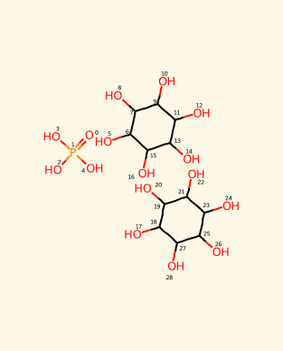 O=P(O)(O)O.OC1C(O)C(O)C(O)C(O)C1O.OC1C(O)C(O)C(O)C(O)C1O